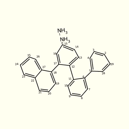 N.N.c1ccc(-c2ccccc2-c2ccccc2-c2cccc3ccccc23)cc1